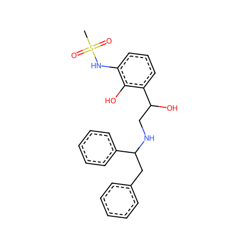 CS(=O)(=O)Nc1cccc(C(O)CNC(Cc2ccccc2)c2ccccc2)c1O